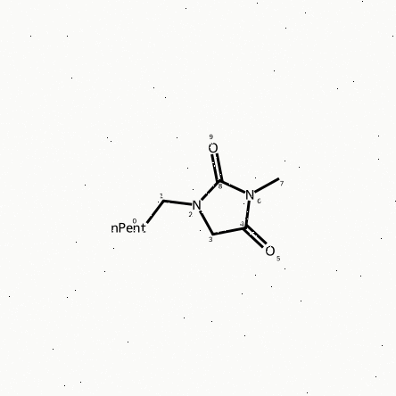 CCCCCCN1CC(=O)N(C)C1=O